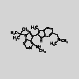 CNc1ncnc2c1c(-c1[nH]c3cc(CN(C)C)ccc3c1C)nn2C(C)(C)C